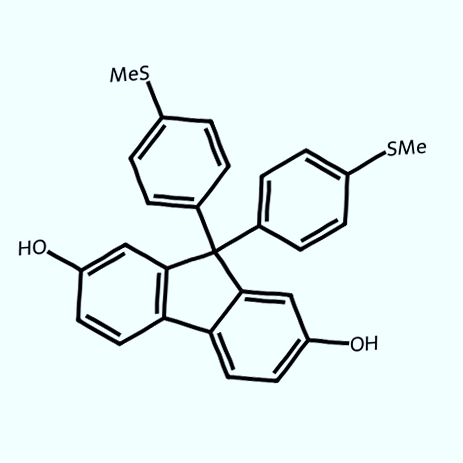 CSc1ccc(C2(c3ccc(SC)cc3)c3cc(O)ccc3-c3ccc(O)cc32)cc1